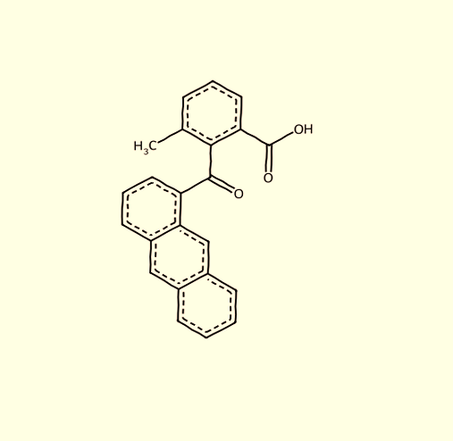 Cc1cccc(C(=O)O)c1C(=O)c1cccc2cc3ccccc3cc12